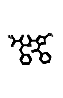 Cn1cc(C(=O)NC(Cc2ccccc2)C(=O)C(N)=O)c(C(=O)c2ccccc2)n1